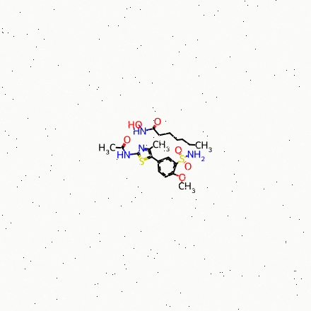 CCCCCCC(=O)NO.COc1ccc(-c2sc(NC(C)=O)nc2C)cc1S(N)(=O)=O